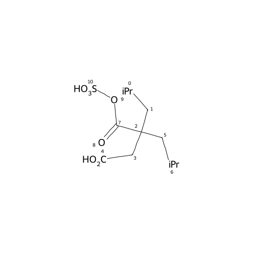 CC(C)CC(CC(=O)O)(CC(C)C)C(=O)OS(=O)(=O)O